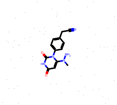 CN(N)c1cc(=O)[nH]c(=O)n1-c1ccc(CC#N)cc1